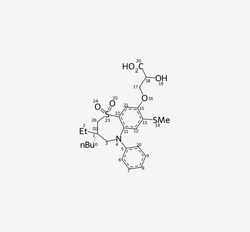 CCCC[C@@]1(CC)CN(c2ccccc2)c2cc(SC)c(OCC(O)C(=O)O)cc2S(=O)(=O)C1